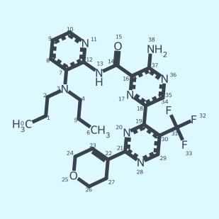 CCCN(CCC)c1cccnc1NC(=O)c1nc(-c2nc(C3=CCOCC3)ncc2C(F)(F)F)cnc1N